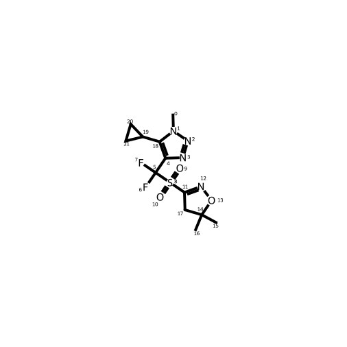 Cn1nnc(C(F)(F)S(=O)(=O)C2=NOC(C)(C)C2)c1C1CC1